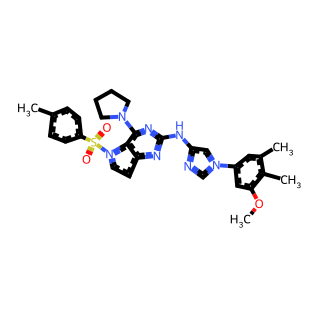 COc1cc(-n2cnc(Nc3nc(N4CCCC4)c4c(ccn4S(=O)(=O)c4ccc(C)cc4)n3)c2)cc(C)c1C